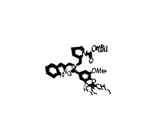 COc1cc(C(=O)N(Cc2cc3ccccc3nn2)CC2CCCN2C(=O)OC(C)(C)C)cc2c1OC(C)(C)O2